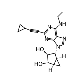 CCNc1nc(C#CC2CC2)nc2c1ncn2[C@H]1[C@H](O)[C@H](O)[C@@H]2C[C@@H]21